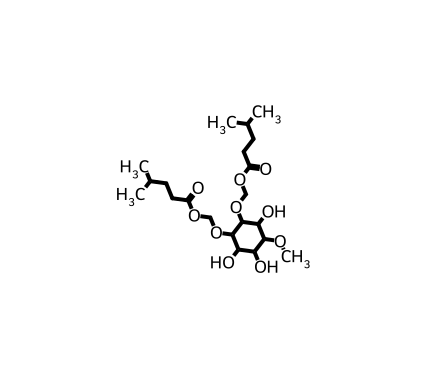 COC1C(O)C(O)C(OCOC(=O)CCC(C)C)C(OCOC(=O)CCC(C)C)C1O